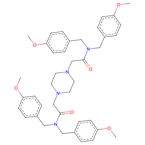 COc1ccc(CN(Cc2ccc(OC)cc2)C(=O)CN2CCN(CC(=O)N(Cc3ccc(OC)cc3)Cc3ccc(OC)cc3)CC2)cc1